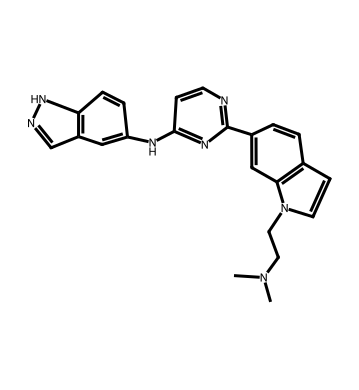 CN(C)CCn1ccc2ccc(-c3nccc(Nc4ccc5[nH]ncc5c4)n3)cc21